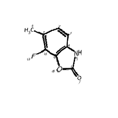 Cc1ccc2[nH]c(=O)oc2c1F